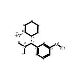 CCOc1cccc(C([C@H]2CCCC[C@H]2O)N(C)C)c1